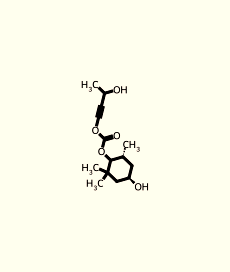 CC(O)C#COC(=O)OC1[C@H](C)C[C@@H](O)CC1(C)C